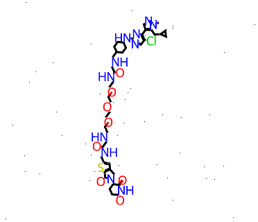 Cn1ncc(-c2nc(NC3CCC(CNCC(=O)NCCOCCOCCOCCNCC(=O)NCc4cc5c(s4)C(=O)N(C4CCC(=O)NC4=O)C5)CC3)ncc2Cl)c1CC1CC1